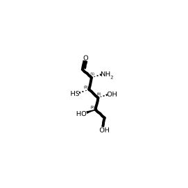 N[C@@H](C=O)[C@@H](S)[C@H](O)[C@H](O)CO